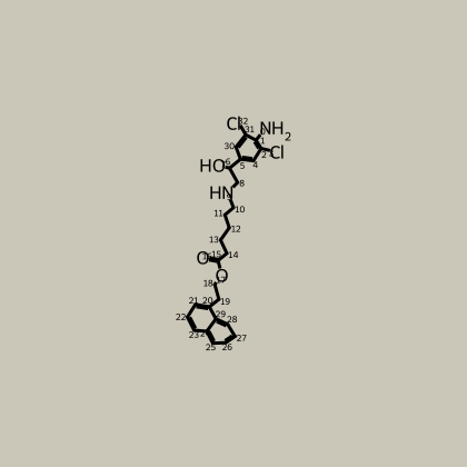 Nc1c(Cl)cc(C(O)CNCCCCCC(=O)OCCc2cccc3ccccc23)cc1Cl